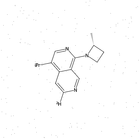 [2H]c1cc2c(C(C)C)cnc(N3CC[C@H]3C)c2cn1